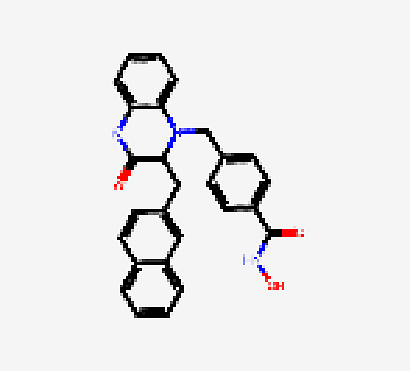 O=C(NO)c1ccc(CN2c3ccccc3NC(=O)C2Cc2ccc3ccccc3c2)cc1